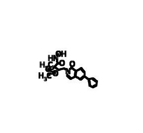 C[C@@](CCn1ccc2cc(-c3ccccc3)ccc2c1=O)(C(=O)NO)S(C)(=O)=O